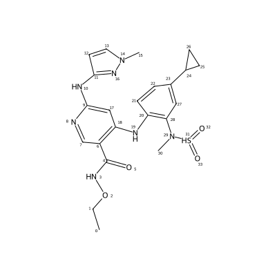 CCONC(=O)c1cnc(Nc2ccn(C)n2)cc1Nc1ccc(C2CC2)cc1N(C)[SH](=O)=O